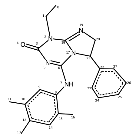 CCN1C(=O)N=C(Nc2cc(C)c(C)cc2C)N2C1=NCC2c1ccccc1